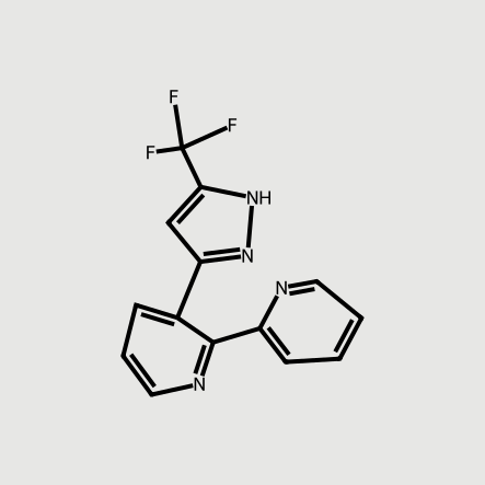 FC(F)(F)c1cc(-c2cccnc2-c2ccccn2)n[nH]1